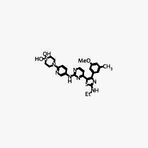 CCNc1nc(-c2cc(C)cc(OC)c2)c(-c2ccnc(Nc3ccc(N4CCS(O)(O)CC4)nc3)n2)s1